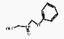 O=CC[PH](=O)COc1ccccc1